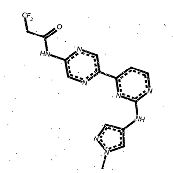 Cn1cc(Nc2nccc(-c3cnc(NC(=O)CC(F)(F)F)cn3)n2)cn1